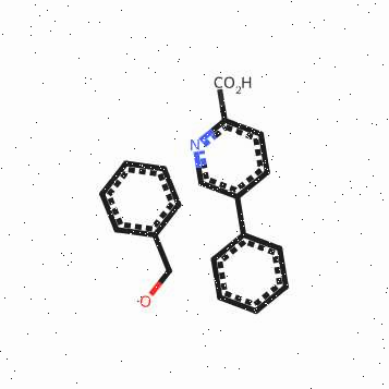 O=C(O)c1ccc(-c2ccccc2)cn1.[O]Cc1ccccc1